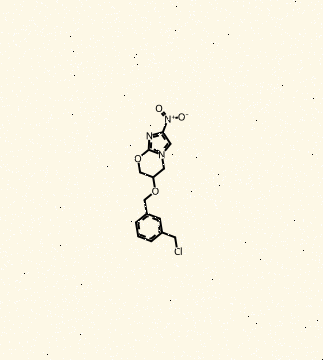 O=[N+]([O-])c1cn2c(n1)OCC(OCc1cccc(CCl)c1)C2